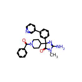 CN1C(=O)C(c2cccc(-c3cccnc3)c2)(C2CCN(C(=O)c3ccccc3)CC2)N=C1N